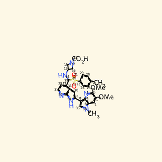 COc1cc2c(nc1OC)c(-c1cc3c(C(NC4CN(C(=O)O)C4)S(=O)(=O)c4ccc(C)cc4)ccnc3[nH]1)cn2C